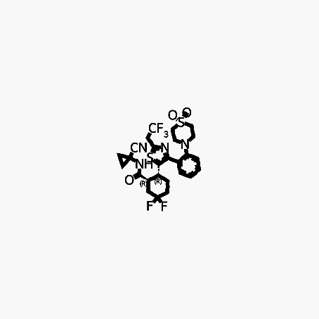 N#CC1(NC(=O)[C@@H]2CC(F)(F)CC[C@H]2c2sc(CC(F)(F)F)nc2-c2ccccc2N2CCS(=O)(=O)CC2)CC1